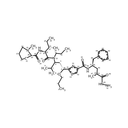 CCCO[C@H](CC(C(C)C)N(CCC)C(=O)[C@@H](NC(=O)[C@H]1CCCCN1C)[C@@H](C)CC)c1nc(C(=O)N[C@@H](Cc2ccccc2)C[C@H](C)C(=O)NN)cs1